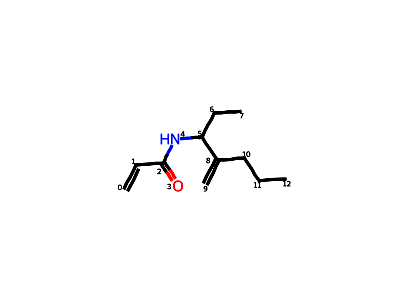 C=CC(=O)NC(CC)C(=C)CCC